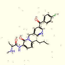 CCCCc1ccc(NC(=O)C(C)NC)c(=O)n1Cc1cncc(C(=O)c2ccc(F)cc2)c1